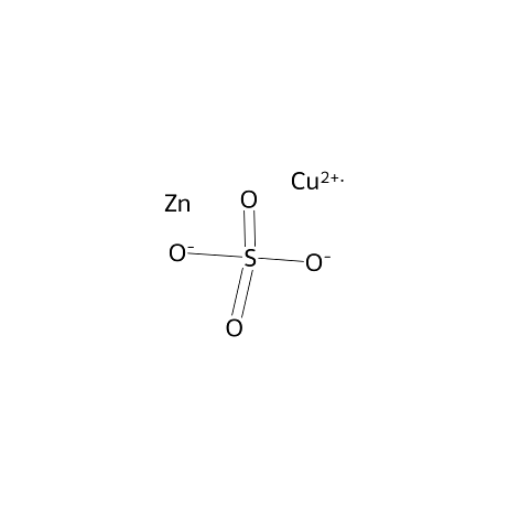 O=S(=O)([O-])[O-].[Cu+2].[Zn]